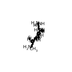 C[C@H](N)CCCc1cc(SC(F)(F)F)cc(-c2cc3cn(-c4ccc([C@@H](NCCCNC(=N)N)c5nnn[nH]5)cc4)c(=O)nc3[nH]2)c1